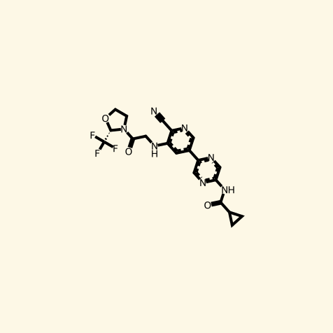 N#Cc1ncc(-c2cnc(NC(=O)C3CC3)cn2)cc1NCC(=O)N1CCO[C@H]1C(F)(F)F